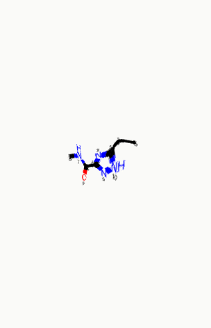 CCc1nc(C(=O)NC)n[nH]1